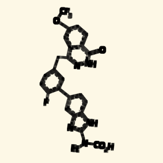 CCN(C(=O)O)c1nc2cc(-c3cc(Cc4n[nH]c(=O)c5ccc(OC(F)(F)F)cc45)ccc3F)ccc2[nH]1